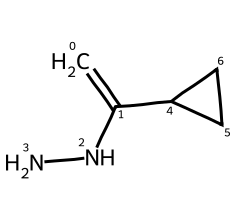 C=C(NN)C1CC1